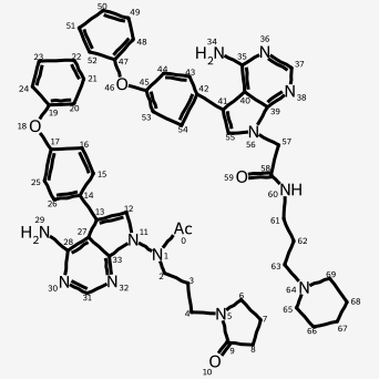 CC(=O)N(CCCN1CCCC1=O)n1cc(-c2ccc(Oc3ccccc3)cc2)c2c(N)ncnc21.Nc1ncnc2c1c(-c1ccc(Oc3ccccc3)cc1)cn2CC(=O)NCCCN1CCCCC1